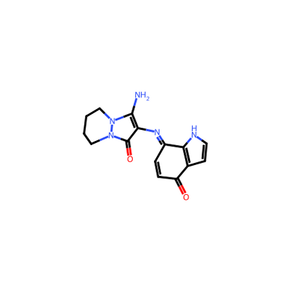 Nc1c(N=C2C=CC(=O)c3cc[nH]c32)c(=O)n2n1CCCC2